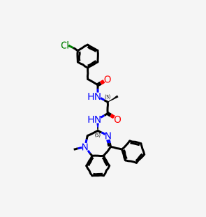 C[C@H](NC(=O)Cc1cccc(Cl)c1)C(=O)N[C@@H]1CN(C)c2ccccc2C(c2ccccc2)=N1